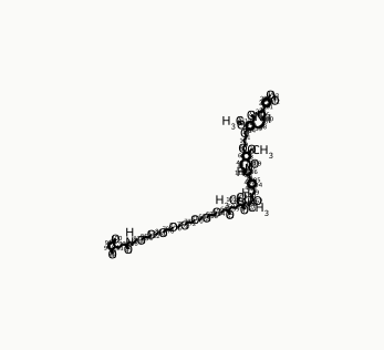 COc1cc2c(cc1OCCCOc1cc3c(cc1OC)C(=O)N1C=C(c4ccc5c(c4)OCO5)C[C@H]1C=C=C3)C=C[C@@H]1CC(c3ccc(CCC(=O)[C@H](C)NC(=O)C(CCC(=O)CCOCCOCCOCCOCCOCCOCCOCCOCCNC(=O)CCC4C(=O)C=CC4=O)C(C)C)cc3)=CN1C2=O